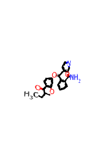 CCC1COc2cc(O[C@H](c3ccncc3)c3ccccc3C(N)=O)ccc2C1=O